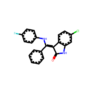 O=C1Nc2cc(Cl)ccc2C1=C(Nc1ccc(F)cc1)c1ccccc1